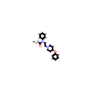 CC(=O)N(CCN1CCC(Oc2ccccc2)CC1)c1ccccc1